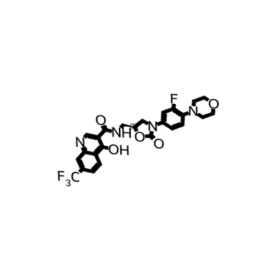 O=C(NC[C@H]1CN(c2ccc(N3CCOCC3)c(F)c2)C(=O)O1)c1cnc2cc(C(F)(F)F)ccc2c1O